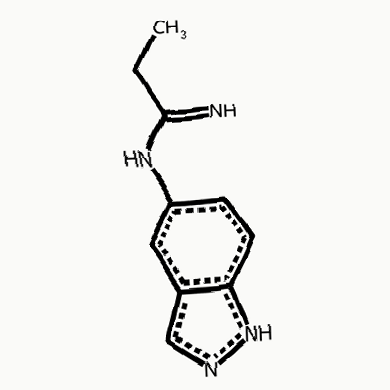 CCC(=N)Nc1ccc2[nH]ncc2c1